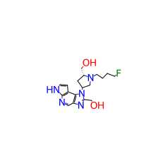 OCc1nc2cnc3[nH]ccc3c2n1C1C[C@H](CO)N(CCCCF)C1